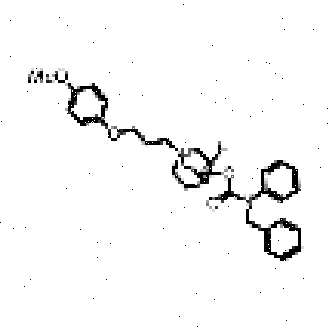 COc1ccc(OCCC[N+]23CCC(CC2)[C@@H](OC(=O)N(Cc2ccccc2)c2ccccc2)C3)cc1